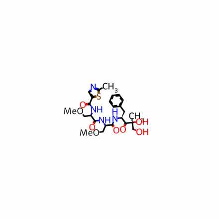 COCC(NC(=O)c1cnc(C)s1)C(=O)NC(COC)C(=O)N[C@@H](Cc1ccccc1)C(=O)[C@](C)(O)CO